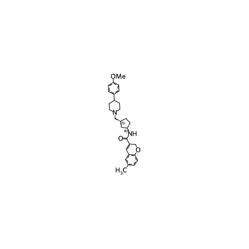 COc1ccc(C2CCN(C[C@H]3CC[C@@H](NC(=O)C4=Cc5cc(C)ccc5OC4)C3)CC2)cc1